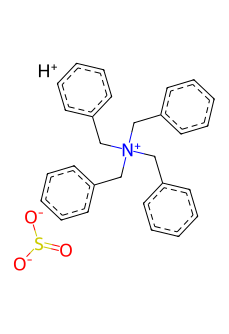 O=S([O-])[O-].[H+].c1ccc(C[N+](Cc2ccccc2)(Cc2ccccc2)Cc2ccccc2)cc1